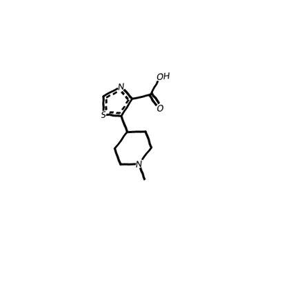 CN1CCC(c2scnc2C(=O)O)CC1